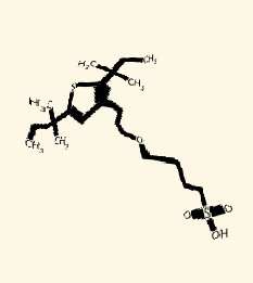 CCC(C)(C)c1cc(CCOCCCCS(=O)(=O)O)c(C(C)(C)CC)s1